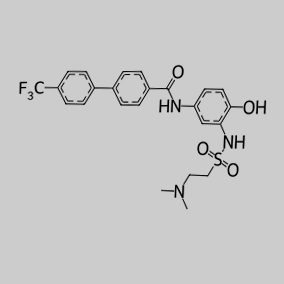 CN(C)CCS(=O)(=O)Nc1cc(NC(=O)c2ccc(-c3ccc(C(F)(F)F)cc3)cc2)ccc1O